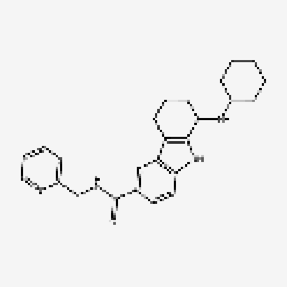 O=C(NCc1ccccn1)c1ccc2[nH]c3c(c2c1)CCCC3NC1CCCCC1